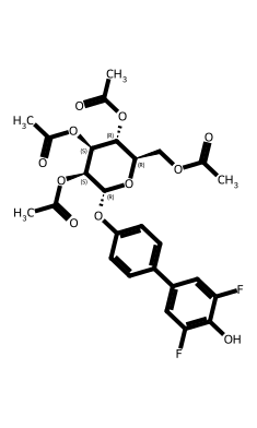 CC(=O)OC[C@H]1O[C@H](Oc2ccc(-c3cc(F)c(O)c(F)c3)cc2)[C@@H](OC(C)=O)[C@@H](OC(C)=O)[C@@H]1OC(C)=O